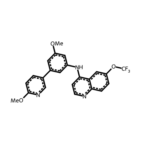 COc1cc(Nc2ccnc3ccc(OC(F)(F)F)cc23)cc(-c2ccc(OC)nc2)c1